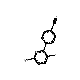 N#Cc1ccc(-c2nc(N)ccc2F)cc1